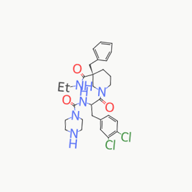 CCNC(=O)[C@]1(Cc2ccccc2)CCCN(C(=O)C(Cc2ccc(Cl)c(Cl)c2)NC(=O)N2CCNCC2)C1